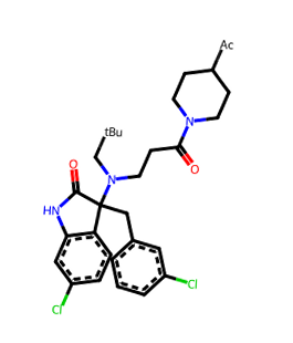 CC(=O)C1CCN(C(=O)CCN(CC(C)(C)C)C2(Cc3cccc(Cl)c3)C(=O)Nc3cc(Cl)ccc32)CC1